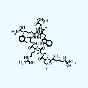 C[C@@H](C(=O)N[C@@H](CCCNC(=N)N)C(=O)N[C@H](Cc1ccccc1)C(=O)N[C@@H](CCCNC(=N)N)C(=O)N[C@H](Cc1c[nH]c2ccccc12)C(=O)N[C@@H](CS)C(=O)O)N(C)C(=O)[C@H](CS)NC(=O)[C@@H](N)CCCNC(=N)N